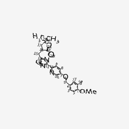 COc1ccc(COc2ccc(-c3noc(CC4CC(C)(C)OC4=O)n3)nc2)cc1